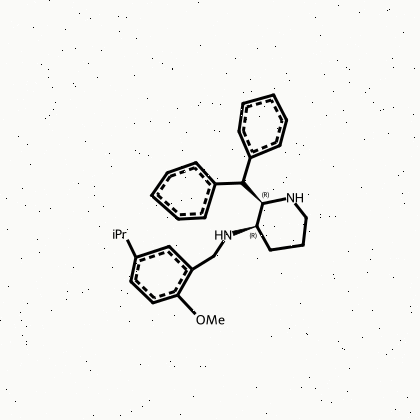 COc1ccc(C(C)C)cc1CN[C@@H]1CCCN[C@@H]1C(c1ccccc1)c1ccccc1